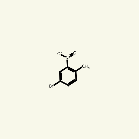 Cc1c[c]c(Br)cc1[N+](=O)[O-]